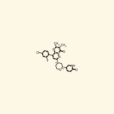 Cc1nc2c(-c3ccc(Cl)cc3F)cc([C@@H]3CCO[C@H](c4ccc(=O)[nH]c4)C3)nn2c(=O)c1C